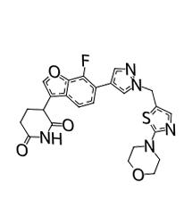 O=C1CCC(c2coc3c(F)c(-c4cnn(Cc5cnc(N6CCOCC6)s5)c4)ccc23)C(=O)N1